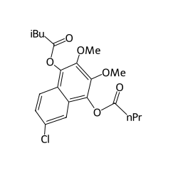 CCCC(=O)Oc1c(OC)c(OC)c(OC(=O)C(C)CC)c2ccc(Cl)cc12